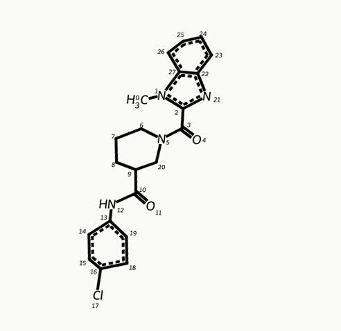 Cn1c(C(=O)N2CCCC(C(=O)Nc3ccc(Cl)cc3)C2)nc2ccccc21